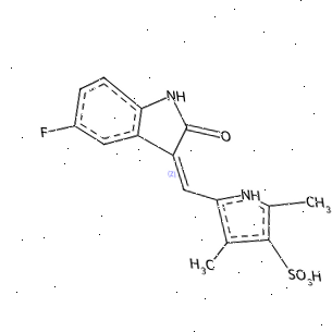 Cc1[nH]c(/C=C2\C(=O)Nc3ccc(F)cc32)c(C)c1S(=O)(=O)O